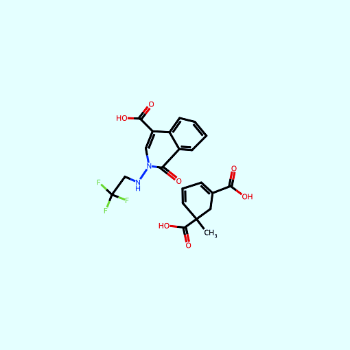 CC1(C(=O)O)C=CC=C(C(=O)O)C1.O=C(O)c1cn(NCC(F)(F)F)c(=O)c2ccccc12